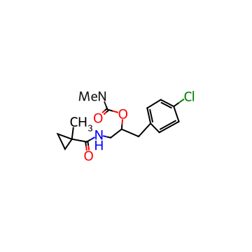 CNC(=O)OC(CNC(=O)C1(C)CC1)Cc1ccc(Cl)cc1